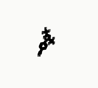 N#Cc1ccc(-n2nc(C(F)(F)F)cc2C(F)(F)F)cc1